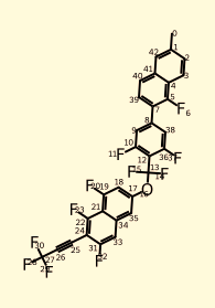 Cc1ccc2c(F)c(-c3cc(F)c(C(F)(F)Oc4cc(F)c5c(F)c(C#CC(F)(F)F)c(F)cc5c4)c(F)c3)ccc2c1